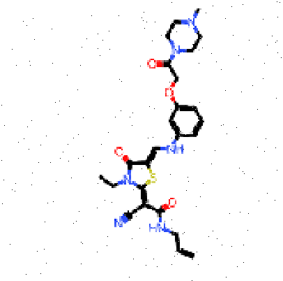 C=CCNC(=O)C(C#N)=c1sc(=CNc2cccc(OCC(=O)N3CCN(C)CC3)c2)c(=O)n1CC